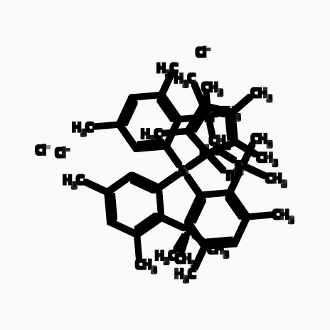 CC1=C(C)[C]([Ti+3])([Si](c2cc(C)cc(C)c2[Si](C)(C)C)(c2cc(C)cc(C)c2[Si](C)(C)C)c2cc(C)cc(C)c2[Si](C)(C)C)C(C)=C1C.[Cl-].[Cl-].[Cl-]